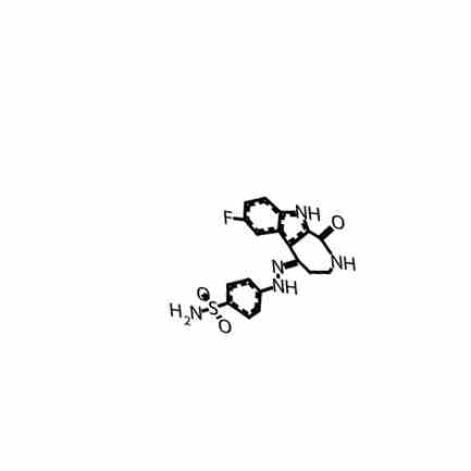 NS(=O)(=O)c1ccc(NN=C2CCNC(=O)c3[nH]c4ccc(F)cc4c32)cc1